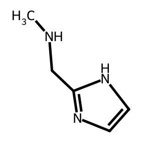 CNCc1ncc[nH]1